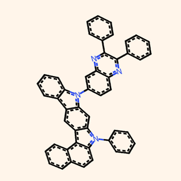 c1ccc(-c2nc3ccc(-n4c5ccccc5c5cc6c7c8ccccc8ccc7n(-c7ccccc7)c6cc54)cc3nc2-c2ccccc2)cc1